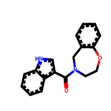 O=C(c1c[nH]c2ccccc12)N1CCOc2ccccc2C1